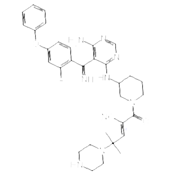 CC(C)(/C=C(\C#N)C(=O)N1CCCC(Nc2ncnc(N)c2C(=N)c2ccc(Oc3ccccc3)cc2F)C1)N1CCNCC1